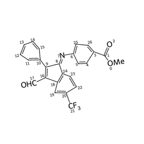 COC(=O)c1ccc(N=C2C(c3ccccc3)=C(C=O)c3cc(C(F)(F)F)ccc32)cc1